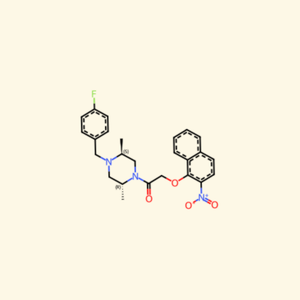 C[C@@H]1CN(Cc2ccc(F)cc2)[C@@H](C)CN1C(=O)COc1c([N+](=O)[O-])ccc2ccccc12